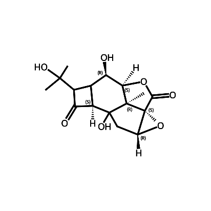 CC(C)(O)C1C(=O)[C@H]2C1[C@@H](O)[C@H]1OC(=O)[C@@]34O[C@@H]3CC2(O)[C@@]14C